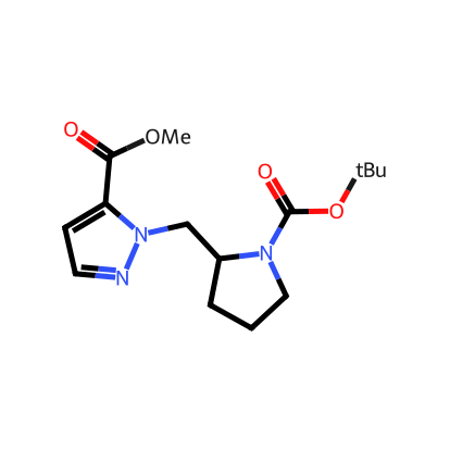 COC(=O)c1ccnn1CC1CCCN1C(=O)OC(C)(C)C